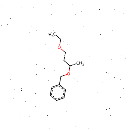 CCOCCC(C)OCc1ccccc1